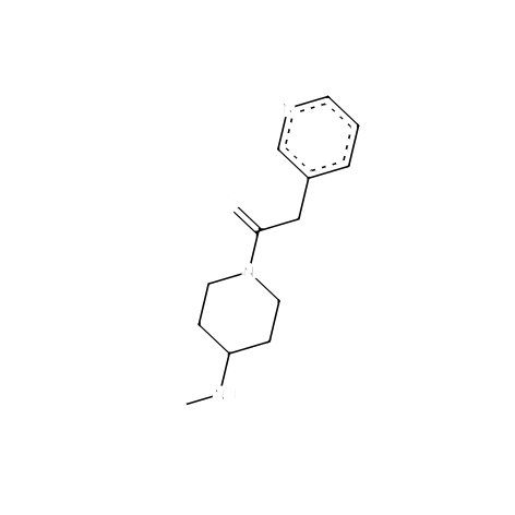 CNC1CCN(C(=O)Cc2cccnc2)CC1